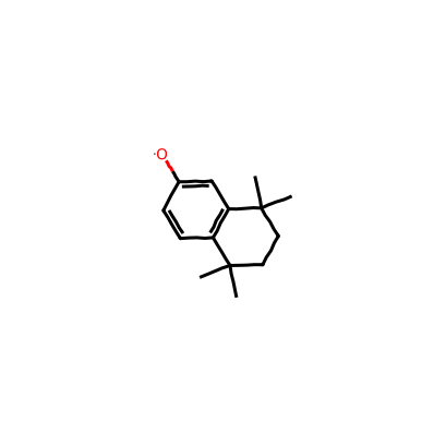 CC1(C)CCC(C)(C)c2cc([O])ccc21